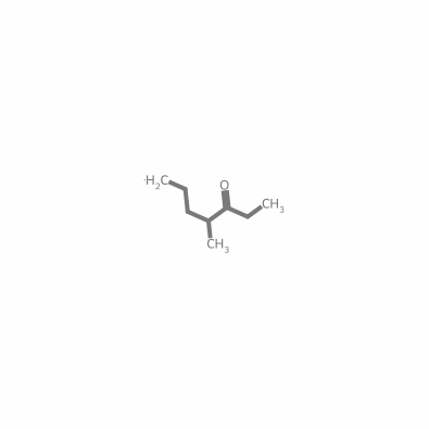 [CH2]CCC(C)C(=O)CC